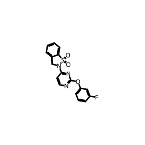 O=S1(=O)c2ccccc2CN1c1ccnc(Oc2cccc(F)c2)n1